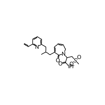 C=Cc1cccc(CC(C)CC2=CC=CCN(C(CS(C)(=O)=O)C(=O)C(C)C)C2=O)n1